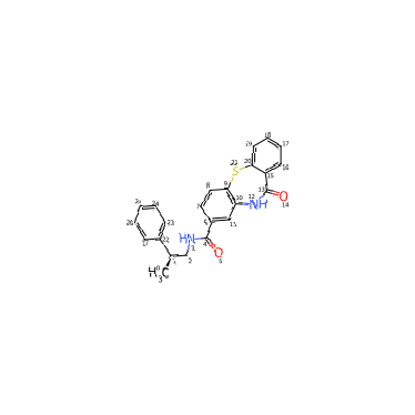 C[C@H](CNC(=O)c1ccc2c(c1)NC(=O)c1ccccc1S2)c1ccccc1